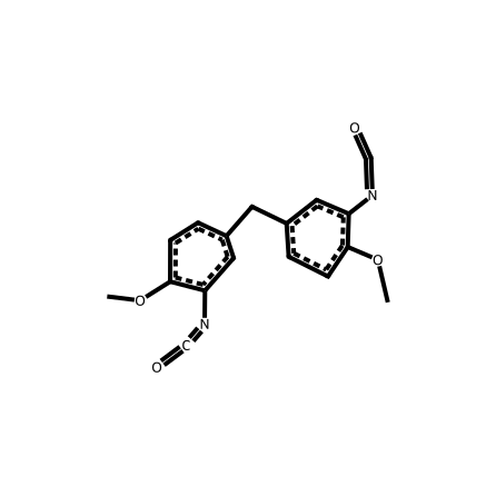 COc1ccc(Cc2ccc(OC)c(N=C=O)c2)cc1N=C=O